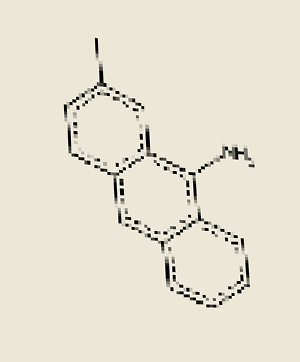 Cc1ccc2cc3ccccc3c(N)c2c1